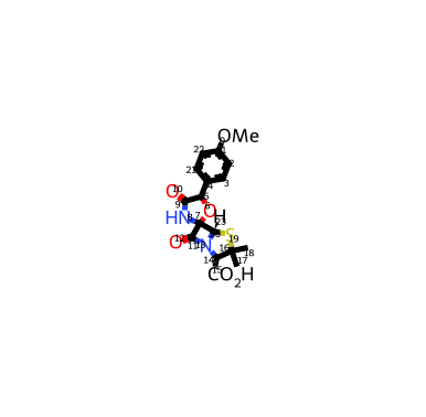 COc1ccc(C2OC3(NC2=O)C(=O)N2C(C(=O)O)C(C)(C)S[C@@H]23)cc1